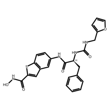 O=C(NCc1ccco1)N[C@@H](Cc1ccccc1)C(=O)Nc1ccc2sc(C(=O)NO)cc2c1